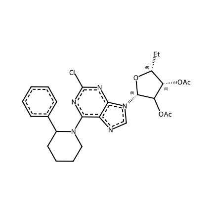 CC[C@H]1O[C@@H](n2cnc3c(N4CCCCC4c4ccccc4)nc(Cl)nc32)C(OC(C)=O)[C@H]1OC(C)=O